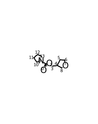 O=C(OCC1CCOC1)N1CCCC1